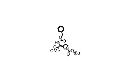 COC(=O)C(NC(=O)OCc1ccccc1)=C1CCN(C(=O)OC(C)(C)C)C1